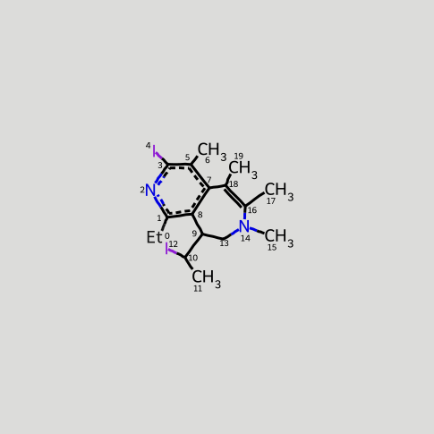 CCc1nc(I)c(C)c2c1C(C(C)I)CN(C)C(C)=C2C